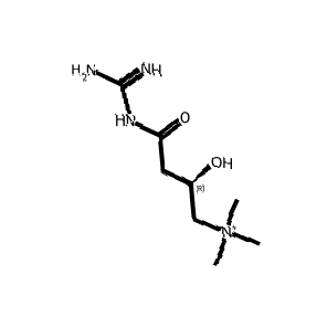 C[N+](C)(C)C[C@H](O)CC(=O)NC(=N)N